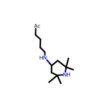 CC(=O)CCCCNC1CC(C)(C)NC(C)(C)C1